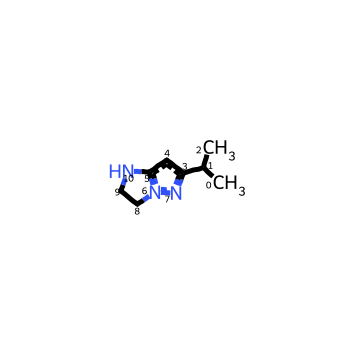 CC(C)c1cc2n(n1)CCN2